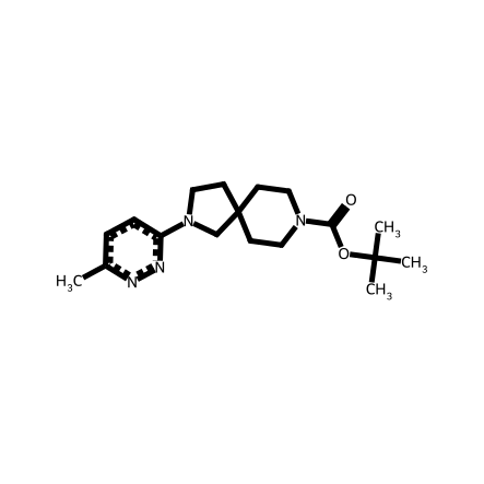 Cc1ccc(N2CCC3(CCN(C(=O)OC(C)(C)C)CC3)C2)nn1